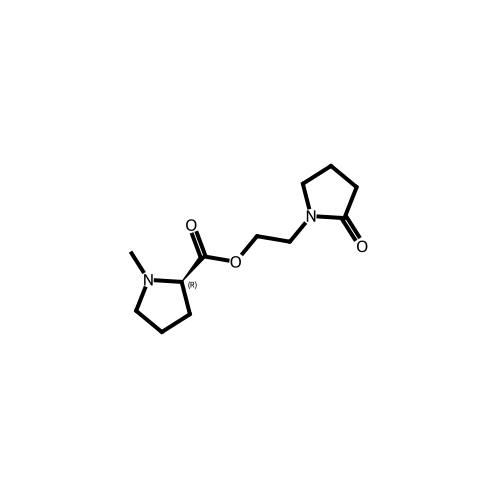 CN1CCC[C@@H]1C(=O)OCCN1CCCC1=O